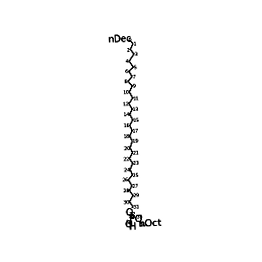 CCCCCCCCCCCCCCCCCCCCCCCCCCCCCCCCCCCCCCCCCO[PH](=O)OCCCCCCCC